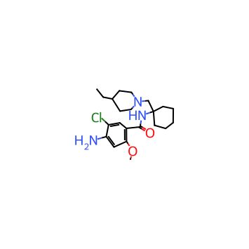 CCC1CCN(CC2(NC(=O)c3cc(Cl)c(N)cc3OC)CCCCC2)CC1